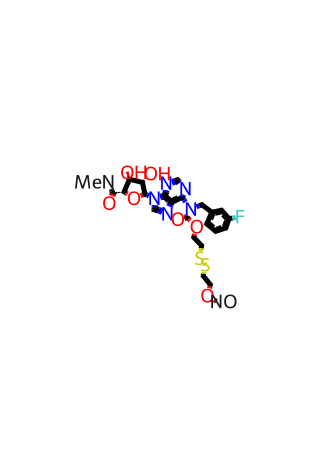 CNC(=O)[C@H]1OC(n2cnc3c(N(Cc4cccc(F)c4)C(=O)OCCSSCCON=O)ncnc32)[C@H](O)[C@@H]1O